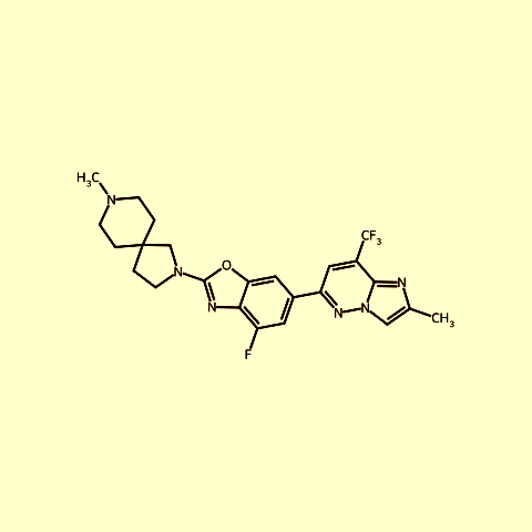 Cc1cn2nc(-c3cc(F)c4nc(N5CCC6(CCN(C)CC6)C5)oc4c3)cc(C(F)(F)F)c2n1